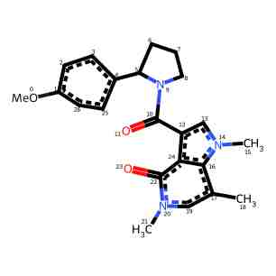 COc1ccc(C2CCCN2C(=O)c2cn(C)c3c(C)cn(C)c(=O)c23)cc1